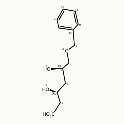 O=C(O)C[C@@H](O)C[C@@H](O)COCc1ccccc1